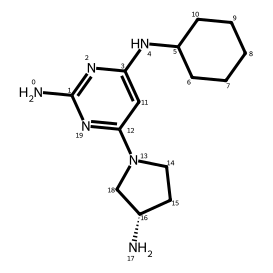 Nc1nc(NC2CCCCC2)cc(N2CC[C@H](N)C2)n1